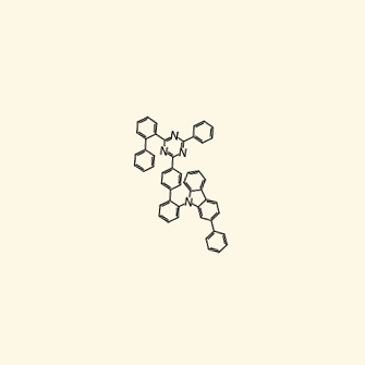 c1ccc(-c2ccc3c4ccccc4n(-c4ccccc4-c4ccc(-c5nc(-c6ccccc6)nc(-c6ccccc6-c6ccccc6)n5)cc4)c3c2)cc1